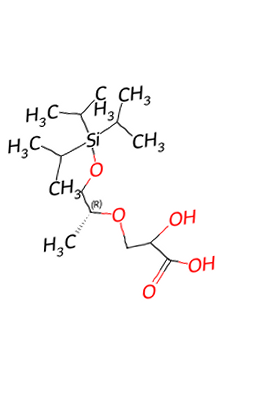 CC(C)[Si](OC[C@@H](C)OCC(O)C(=O)O)(C(C)C)C(C)C